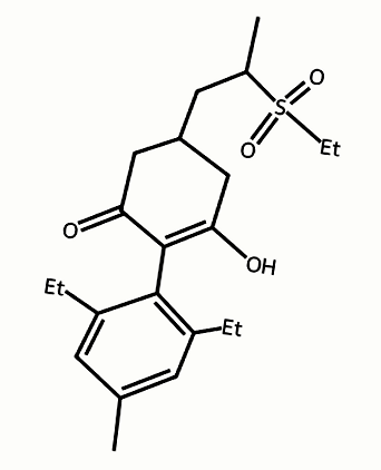 CCc1cc(C)cc(CC)c1C1=C(O)CC(CC(C)S(=O)(=O)CC)CC1=O